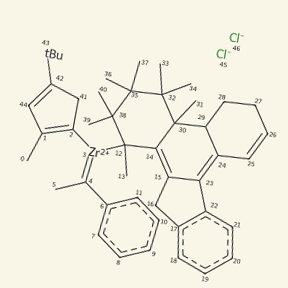 CC1=[C]([Zr+2](=[C](C)c2ccccc2)[C]2(C)C3=C4Cc5ccccc5C4=C4C=CCCC4C3(C)C(C)(C)C(C)(C)C2(C)C)CC(C(C)(C)C)=C1.[Cl-].[Cl-]